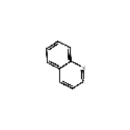 [c]1ccc2nnccc2c1